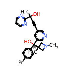 CC(C)c1ccc([C@](O)(c2cncc(C#CC(C)(O)c3ncccn3)c2)C2(C)CN(C)C2)cc1